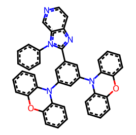 c1ccc(-n2c(-c3cc(N4c5ccccc5Oc5ccccc54)cc(N4c5ccccc5Oc5ccccc54)c3)nc3ccncc32)cc1